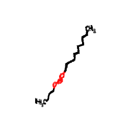 CCCCCCCCCCOOOCCCC